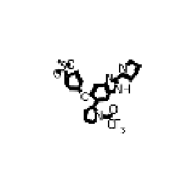 CS(=O)(=O)c1ccc(Oc2cc3nc(-c4ccccn4)[nH]c3cc2C2CCCN2C(=O)C(F)(F)F)cc1